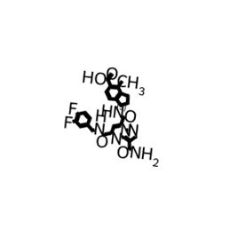 Cc1c(C(=O)O)ccc2c1CC[C@@H]2NC(=O)c1cc(C(=O)NCc2ccc(F)c(F)c2)nc2c(C(N)=O)cnn12